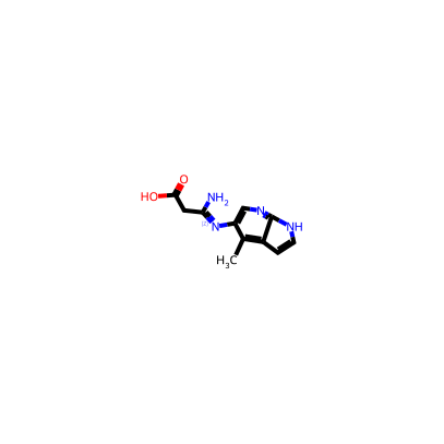 Cc1c(/N=C(\N)CC(=O)O)cnc2[nH]ccc12